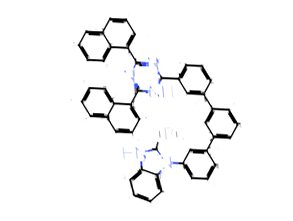 CC(C)(C)C1Nc2ccccc2N1c1cccc(-c2cccc(-c3cccc(C4N=C(c5cccc6ccccc56)N=C(c5cccc6ccccc56)N4)c3)c2)c1